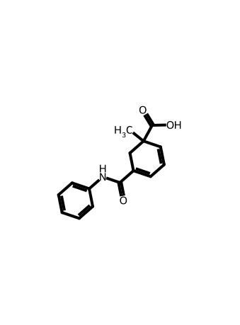 CC1(C(=O)O)C=CC=C(C(=O)Nc2ccccc2)C1